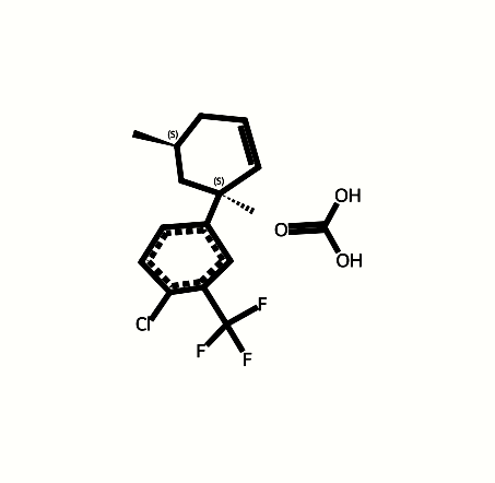 C[C@H]1CC=C[C@@](C)(c2ccc(Cl)c(C(F)(F)F)c2)C1.O=C(O)O